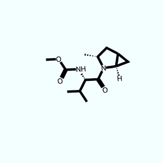 COC(=O)N[C@H](C(=O)N1[C@H](C)CC2C[C@H]21)C(C)C